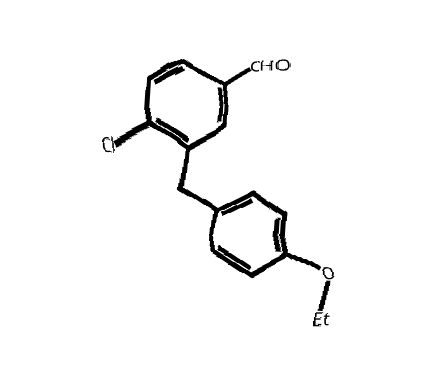 CCOc1ccc(Cc2cc(C=O)ccc2Cl)cc1